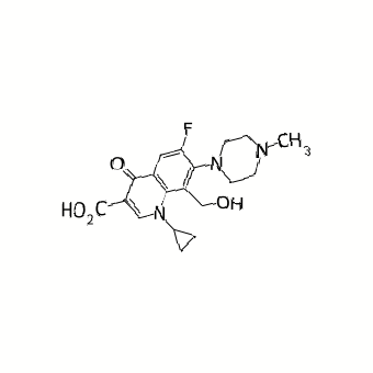 CN1CCN(c2c(F)cc3c(=O)c(C(=O)O)cn(C4CC4)c3c2CO)CC1